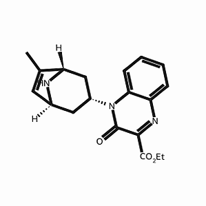 CCOC(=O)c1nc2ccccc2n([C@@H]2C[C@H]3C=C(C)[C@H](C2)N3)c1=O